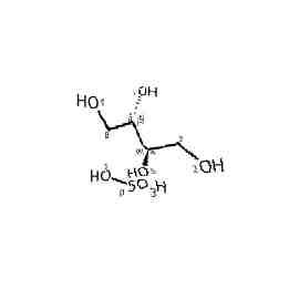 O=S(=O)(O)O.OC[C@@H](O)[C@@H](O)CO